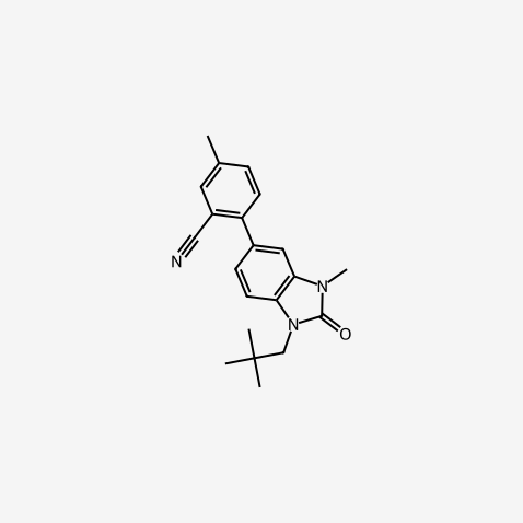 Cc1ccc(-c2ccc3c(c2)n(C)c(=O)n3CC(C)(C)C)c(C#N)c1